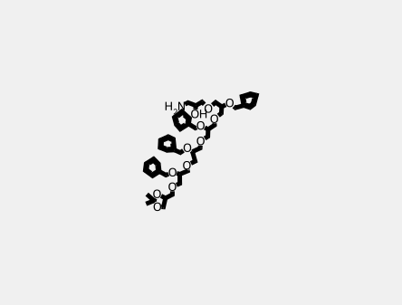 CC1(C)OCC(COCC(COCC(COCC(COCC(COCC(O)CN)OCc2ccccc2)OCc2ccccc2)OCc2ccccc2)OCc2ccccc2)O1